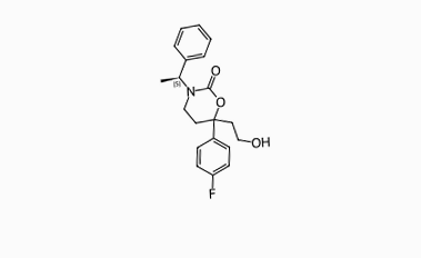 C[C@@H](c1ccccc1)N1CCC(CCO)(c2ccc(F)cc2)OC1=O